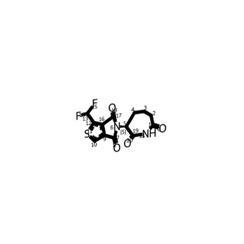 O=C1CCC[C@H](N2C(=O)c3csc(C(F)F)c3C2=O)C(=O)N1